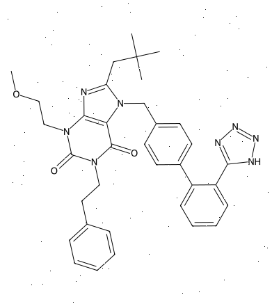 COCCn1c(=O)n(CCc2ccccc2)c(=O)c2c1nc(CC(C)(C)C)n2Cc1ccc(-c2ccccc2-c2nnn[nH]2)cc1